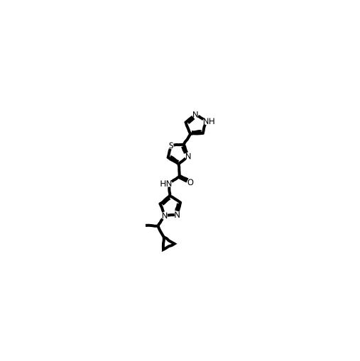 CC(C1CC1)n1cc(NC(=O)c2csc(-c3cn[nH]c3)n2)cn1